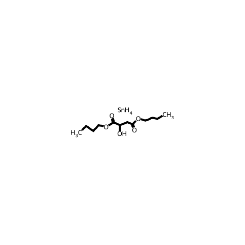 CCCCOC(=O)CC(O)C(=O)OCCCC.[SnH4]